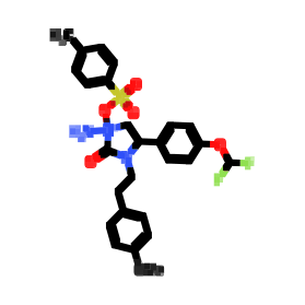 COc1ccc(CCN2C(=O)[N+](N)(OS(=O)(=O)c3ccc(C)cc3)CC2c2ccc(OC(F)F)cc2)cc1